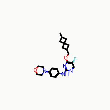 CC1CC2(C1)CC(COc1nc(Nc3ccc(N4CCOCC4)cc3)ncc1F)C2